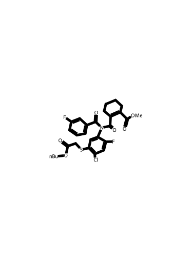 CCCCOC(=O)CSc1cc(N(C(=O)C2=C(C(=O)OC)CCCC2)C(=O)c2cccc(F)c2)c(F)cc1Cl